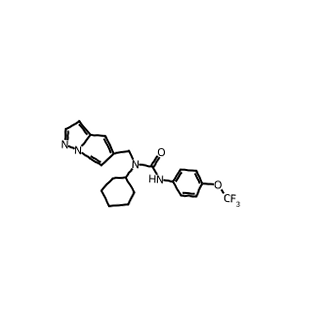 O=C(Nc1ccc(OC(F)(F)F)cc1)N(Cc1ccn2nccc2c1)C1CCCCC1